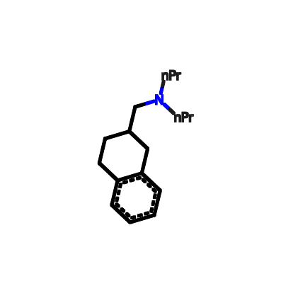 CCCN(CCC)CC1CCc2ccccc2C1